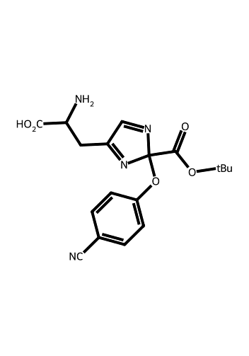 CC(C)(C)OC(=O)C1(Oc2ccc(C#N)cc2)N=CC(CC(N)C(=O)O)=N1